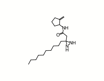 C=C1CCCC1NC(=O)CC1(CCCCCCCCCC)NN1